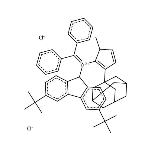 CC1C=CC(C23CC4CC(CC(C4)C2)C3)=[C]1[Zr+2](=[C](c1ccccc1)c1ccccc1)[CH]1c2ccc(C(C)(C)C)cc2-c2cc(C(C)(C)C)ccc21.[Cl-].[Cl-]